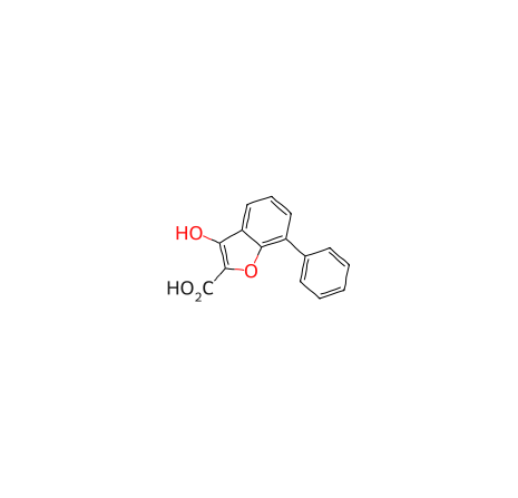 O=C(O)c1oc2c(-c3ccccc3)cccc2c1O